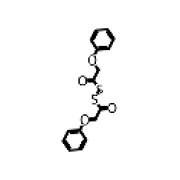 O=C(COc1ccccc1)SSC(=O)COc1ccccc1